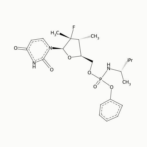 CC(C)[C@H](C)NP(=O)(OC[C@H]1O[C@@H](n2ccc(=O)[nH]c2=O)[C@](C)(F)[C@@H]1C)Oc1ccccc1